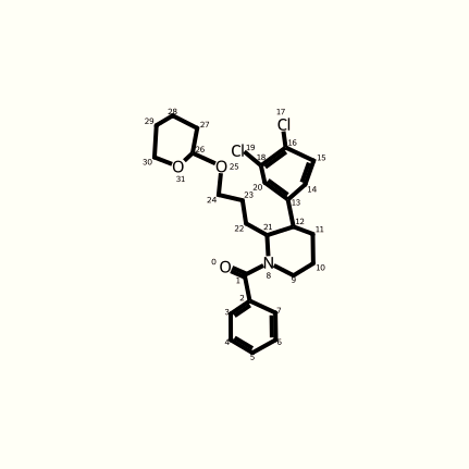 O=C(c1ccccc1)N1CCCC(c2ccc(Cl)c(Cl)c2)C1CCCOC1CCCCO1